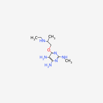 CCNC(C)COc1nc(NC)nc(N)c1N